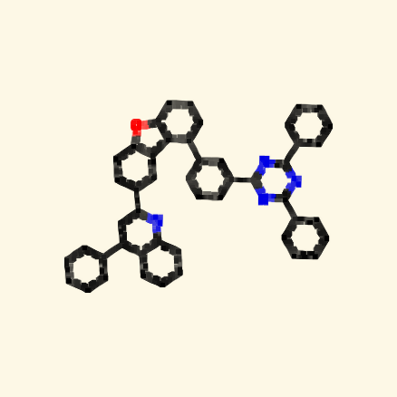 c1ccc(-c2nc(-c3ccccc3)nc(-c3cccc(-c4cccc5oc6ccc(-c7cc(-c8ccccc8)c8ccccc8n7)cc6c45)c3)n2)cc1